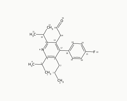 CCCc1c(C(C)C)nc(C(C)C)c(CC=O)c1-c1ccc(F)cc1